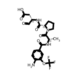 C[C@H](NC(=O)c1ccc(N)c(OC(F)(F)F)c1)C(=O)N1CCC[C@H]1C(=O)N[C@H](C=O)CC(=O)O